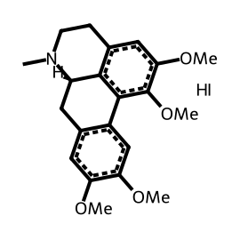 COc1cc2c(cc1OC)-c1c(OC)c(OC)cc3c1[C@H](C2)N(C)CC3.I